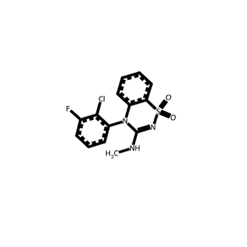 CNC1=NS(=O)(=O)c2ccccc2N1c1cccc(F)c1Cl